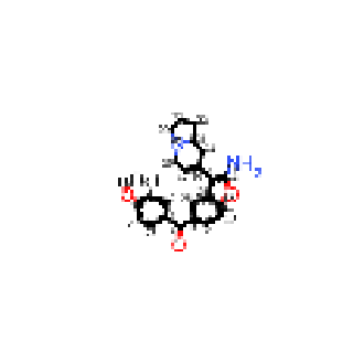 CCCCCCCCOc1ccc(C(=O)c2ccc3oc(N)c(C4=CCN5CCCC5C4)c3c2)cc1